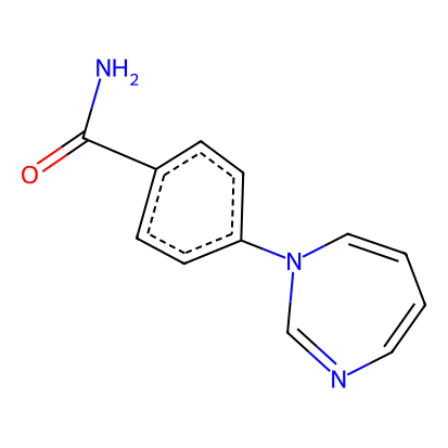 NC(=O)c1ccc(N2C=CC=CN=C2)cc1